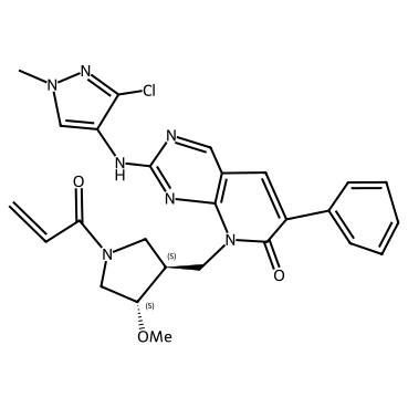 C=CC(=O)N1C[C@@H](Cn2c(=O)c(-c3ccccc3)cc3cnc(Nc4cn(C)nc4Cl)nc32)[C@H](OC)C1